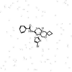 O=C(NC1=N[C@]2(c3nc(Br)cs3)COC3(CCC3)C[C@@H]2CS1)c1ccccc1